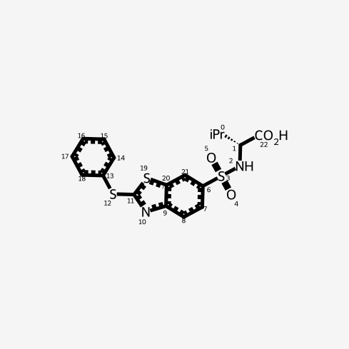 CC(C)[C@@H](NS(=O)(=O)c1ccc2nc(Sc3ccccc3)sc2c1)C(=O)O